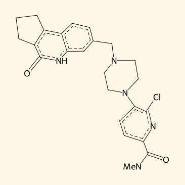 CNC(=O)c1ccc(N2CCN(Cc3ccc4c5c(c(=O)[nH]c4c3)CCC5)CC2)c(Cl)n1